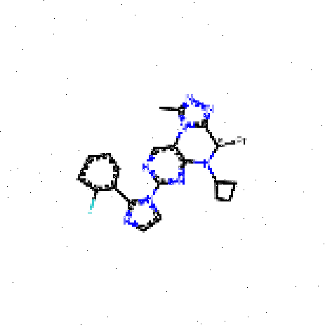 CC[C@@H]1c2nnc(C)n2-c2cnc(-n3ccnc3-c3ccccc3F)nc2N1C1CCC1